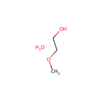 COCCO.O